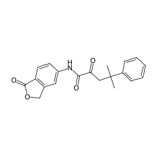 CC(C)(CC(=O)C(=O)Nc1ccc2c(c1)COC2=O)c1ccccc1